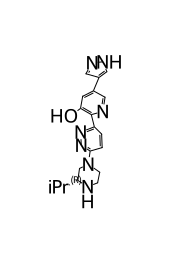 CC(C)[C@@H]1CN(c2ccc(-c3ncc(-c4cn[nH]c4)cc3O)nn2)CCN1